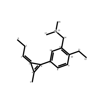 CC/C=C1C(C)=C/1c1ccc(CC)c(CN(C)C)c1